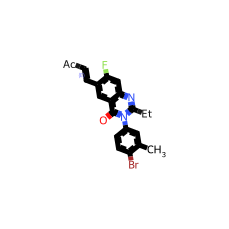 CCc1nc2cc(F)c(/C=C/C(C)=O)cc2c(=O)n1-c1ccc(Br)c(C)c1